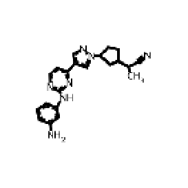 CC(C#N)C1CCC(n2cc(-c3ccnc(Nc4cccc(N)c4)n3)cn2)C1